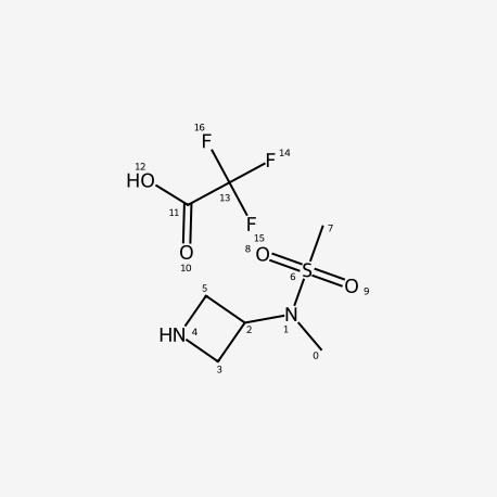 CN(C1CNC1)S(C)(=O)=O.O=C(O)C(F)(F)F